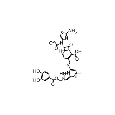 CC1=NC2=CN(COC(=O)c3ccc(O)c(O)c3)NN2C(SCC2=C(C(=O)O)N3C(=O)[C@@H](N(C(=O)C=O)c4csc(N)n4)[C@H]3SC2)=C1